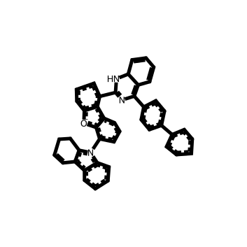 C1=CC2=C(c3ccc(-c4ccccc4)cc3)N=C(c3cccc4oc5c(-n6c7c(c8ccccc86)C=CCC7)cccc5c34)NC2C=C1